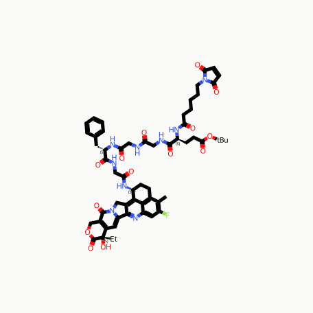 CC[C@@]1(O)C(=O)OCc2c1cc1n(c2=O)Cc2c-1nc1cc(F)c(C)c3c1c2[C@@H](NC(=O)CNC(=O)[C@H](Cc1ccccc1)NC(=O)CNC(=O)CNC(=O)[C@H](CCC(=O)OC(C)(C)C)NC(=O)CCCCCN1C(=O)C=CC1=O)CC3